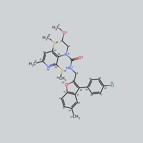 COCCN(C(=O)NCc1oc2ccc(C)cc2c1-c1ccc(Cl)cc1)c1c(SC)cc(C)nc1SC